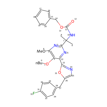 CCCCOc1c(OC)nc(C(C)(C)NC(=O)OCc2ccccc2)nc1-c1ncc(Cc2ccc(F)cc2)o1